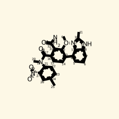 COc1c(-c2cccc3[nH]c(C)nc23)ccc(C(=O)N(C)c2ccc(C)cc2[N+](=O)[O-])c1C(N)=O